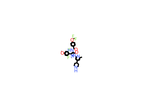 COc1cc(F)c(-c2c(NC(=O)c3ccc(OC(F)F)cc3)c(=O)n(-c3cc(C4CCNCC4)cc(C)n3)n2C)c(F)c1